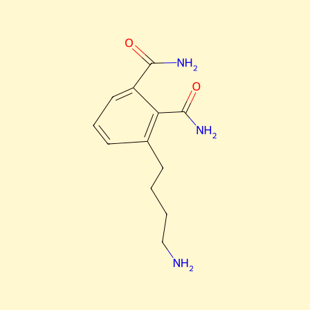 NCCCCc1cccc(C(N)=O)c1C(N)=O